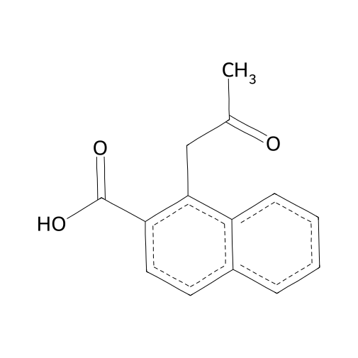 CC(=O)Cc1c(C(=O)O)ccc2ccccc12